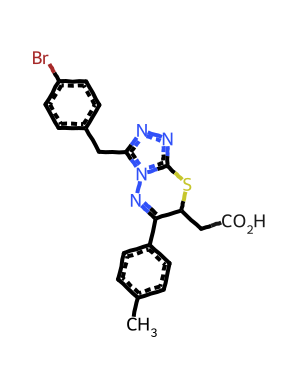 Cc1ccc(C2=Nn3c(Cc4ccc(Br)cc4)nnc3SC2CC(=O)O)cc1